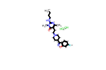 CCCCNc1nc(C)c(CCN2CCC(c3noc4cc(F)ccc34)CC2)c(=O)n1C.Cl.Cl